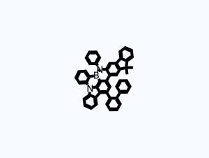 CC1(C)c2ccccc2-c2cc3c(cc21)-c1cc(-c2ccccc2-c2ccccc2)c2c4ccccc4n4c2c1B(c1ccccc1-4)N3c1ccccc1